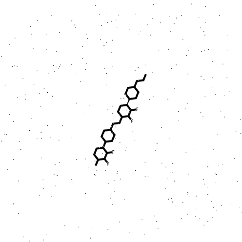 CCCC1CCC([C@@H]2CCC(CCC3CCC(C4CCC(C)C(F)C4F)CC3)C(F)C2F)CC1